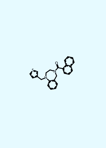 O=C(c1cccc2ccccc12)N1CCN(Cc2ccsc2)c2ccccc2C1